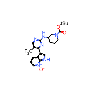 CC(C)(C)OC(=O)N1CCCC(Nc2ncc(C(F)(F)F)c(-c3c[nH]c4c3ccc[n+]4[O-])n2)C1